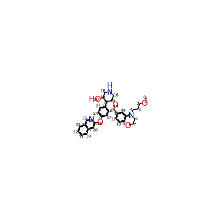 COCCCN1CCOc2ccc(COC3CNCC(O)C3c3ccc(Oc4cc5ccccc5cn4)cc3)cc21